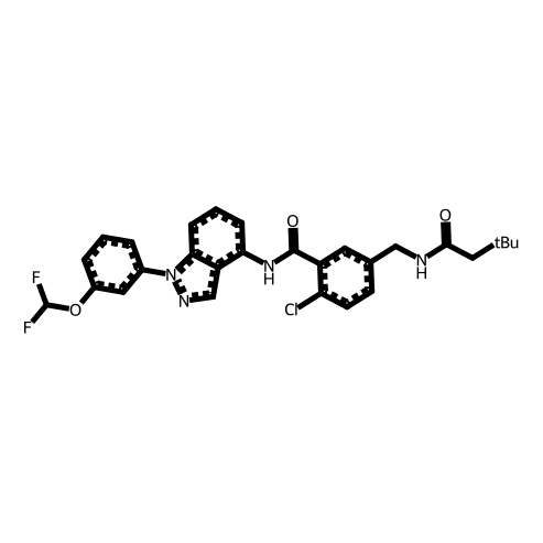 CC(C)(C)CC(=O)NCc1ccc(Cl)c(C(=O)Nc2cccc3c2cnn3-c2cccc(OC(F)F)c2)c1